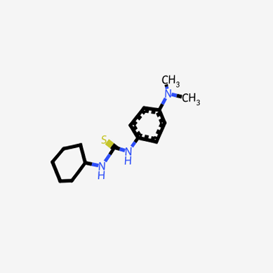 CN(C)c1ccc(NC(=S)NC2CCCCC2)cc1